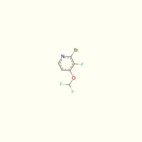 Fc1c(OC(F)F)ccnc1Br